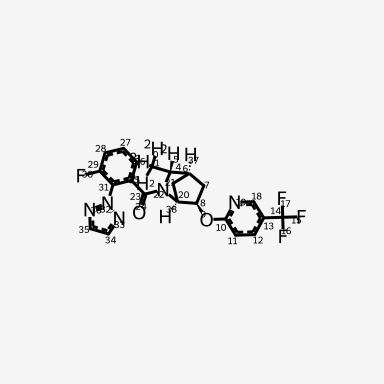 [2H]C([2H])([2H])[C@]1([2H])[C@H]2C[C@@H](Oc3ccc(C(F)(F)F)cn3)[C@H](C2)N1C(=O)c1cccc(F)c1-n1nccn1